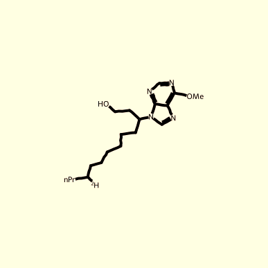 [2H]C(CCC)CCCCCCC(CCO)n1cnc2c(OC)ncnc21